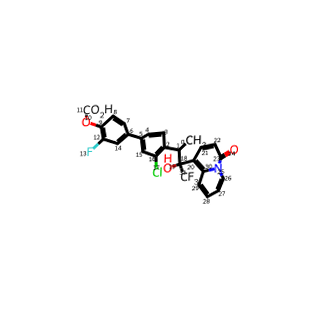 CC(c1ccc(-c2ccc(OC(=O)O)c(F)c2)cc1Cl)C(O)(c1ccc(=O)n2ccccc12)C(F)(F)F